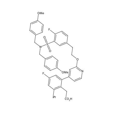 COc1ccc(CN(Cc2ccc(OC)cc2)S(=O)(=O)c2cc(CCOc3cc(-c4cc(F)cc(C(C)C)c4CC(=O)O)ccn3)ccc2F)cc1